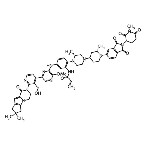 C=CC(=O)Nc1cc(Nc2nc(-c3ccnc(N4CCn5c(cc6c5CC(C)(C)C6)C4=O)c3CO)cnc2OC)ccc1N1CCN(C2CCN(c3ccc4c(c3)C(=O)N(C3CCC(=O)N(C)C3=O)C4=O)[C@@H](C)C2)C[C@@H]1C